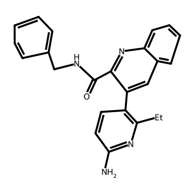 CCc1nc(N)ccc1-c1cc2ccccc2nc1C(=O)NCc1ccccc1